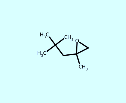 CC(C)(C)CC1(C)CO1